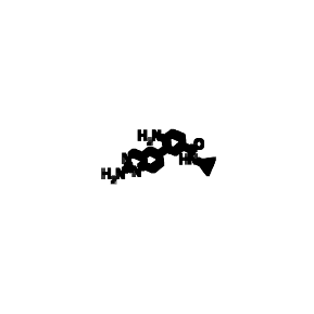 Nc1ncc2cc(-c3cc(C(=O)NC4CC4)ccc3N)ccc2n1